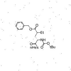 CCCCCCC(=O)[C@H](CC(CC)C(=O)OCc1ccccc1)NC(=O)OC(C)(C)C